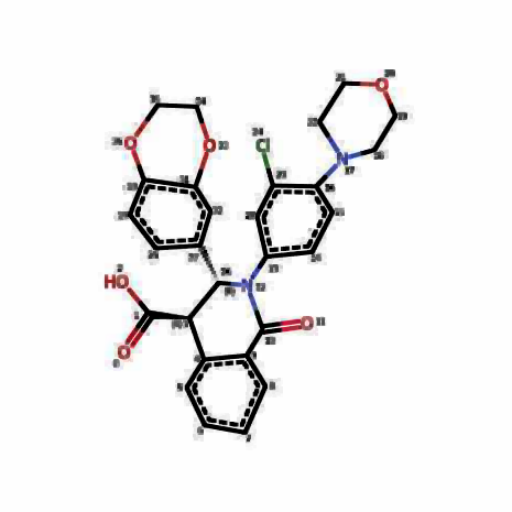 O=C(O)[C@@H]1c2ccccc2C(=O)N(c2ccc(N3CCOCC3)c(Cl)c2)[C@H]1c1ccc2c(c1)OCCO2